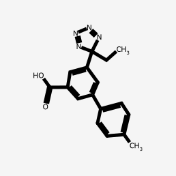 CCC1(c2cc(C(=O)O)cc(-c3ccc(C)cc3)c2)N=NN=N1